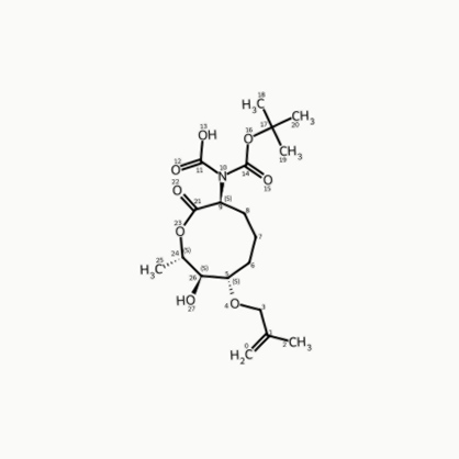 C=C(C)CO[C@H]1CCC[C@H](N(C(=O)O)C(=O)OC(C)(C)C)C(=O)O[C@@H](C)[C@@H]1O